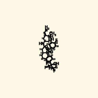 CN/C(=C\N)C[C@@H](CO)NC(=O)C[C@@H]1CCc2cc(C(O)(C(F)(F)F)C(F)(F)F)ccc2N1S(=O)(=O)c1ccc(F)cc1